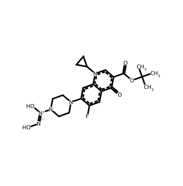 CC(C)(C)OC(=O)c1cn(C2CC2)c2cc(N3CCN(/[N+](O)=N/O)CC3)c(F)cc2c1=O